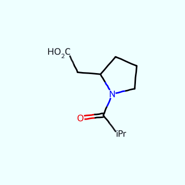 CC(C)C(=O)N1CCCC1CC(=O)O